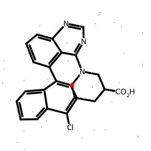 O=C(O)C1CCCN(c2ncnc3cccc(-c4ccc(Cl)c5ccccc45)c23)C1